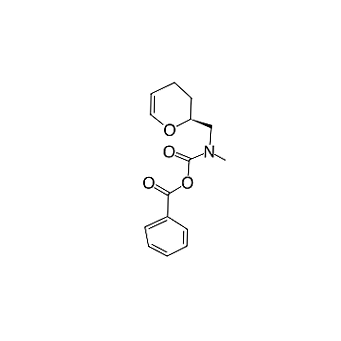 CN(C[C@@H]1CCC=CO1)C(=O)OC(=O)c1ccccc1